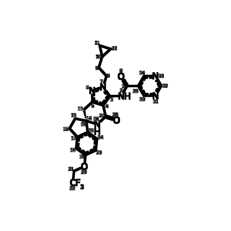 O=C(Nc1c2c(nn1CCC1CC1)C[C@]1(CCc3cc(OCC(F)(F)F)ccc31)NC2=O)c1cncnc1